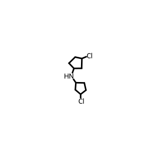 ClC1CCC(NC2CCC(Cl)C2)C1